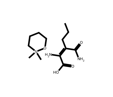 CCCC(C(N)=O)=C(N)C(=O)O.C[Si]1(C)CCCCO1